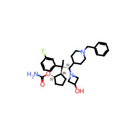 CC(c1cccc(F)c1)([C@H](C1CCN(Cc2ccccc2)CC1)N1CC(O)C1)[C@H]1CCC[C@@H]1OC(N)=O